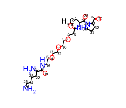 CCC(NC(=O)CCOCCOCCOCCNC(=O)C(N)CCCCN)C(=O)N1CCCC1C=O